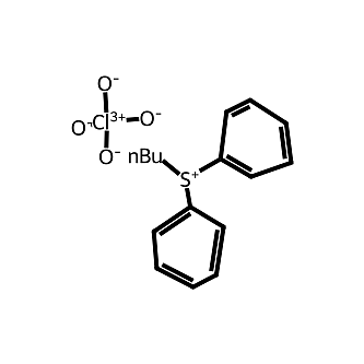 CCCC[S+](c1ccccc1)c1ccccc1.[O-][Cl+3]([O-])([O-])[O-]